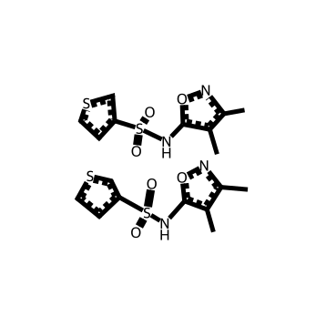 Cc1noc(NS(=O)(=O)c2ccsc2)c1C.Cc1noc(NS(=O)(=O)c2ccsc2)c1C